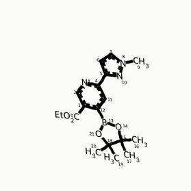 CCOC(=O)c1cnc(-c2ccn(C)n2)cc1B1OC(C)(C)C(C)(C)O1